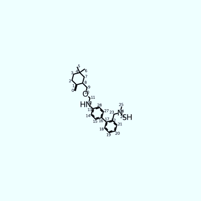 C=C1CCC(C)(C)CC1COCNc1ccc(-c2ccccc2CN(C)S)cc1